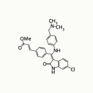 COC(=O)C=Cc1ccc(C(Nc2ccc(CN(C)C)cc2)=C2C(=O)Nc3cc(Cl)ccc32)cc1